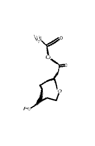 NC(=O)OC(=O)C1CC(O)CO1